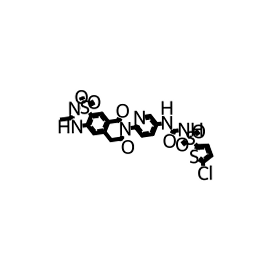 CC1=NS(=O)(=O)c2cc3c(cc2N1)CC(=O)N(c1ccc(NC(=O)NS(=O)(=O)c2ccc(Cl)s2)cn1)C3=O